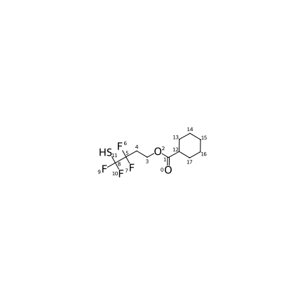 O=C(OCCC(F)(F)C(F)(F)S)C1CCCCC1